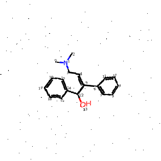 CN(C)CC=C(c1ccccc1)C(O)c1ccccc1